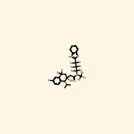 [2H]C([2H])([2H])N(C(=O)C[C@@]1(O)CC(F)(F)c2cc(F)ccc2[C@@H]1C(C)C)C([2H])([2H])C([2H])([2H])C([2H])([2H])c1nc2ccccc2[nH]1